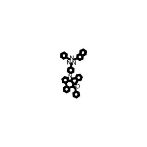 c1ccc(-c2nc(-c3ccc(-n4c5cccc6c5c5c7c(c(-c8ccccc8)oc7c7ccccc7c54)-c4ccccc4-6)cc3)nc(-c3ccc4ccccc4c3)n2)cc1